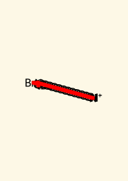 CC(C)(C)OC(=O)N(CCOCCOCCOCCOCCOCCOCCOCCOCCOCCOCCOCCOCCOCCOCCOCCOCCOCCOCCOCCOCCOCCOCCOCCN=[N+]=[N-])C[C@H]1CC[C@H](CBr)CC1